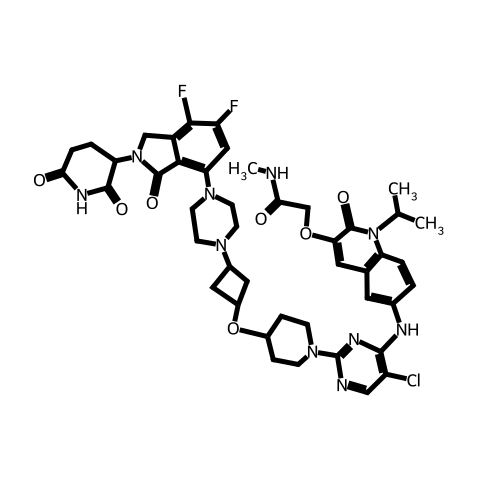 CNC(=O)COc1cc2cc(Nc3nc(N4CCC(OC5CC(N6CCN(c7cc(F)c(F)c8c7C(=O)N(C7CCC(=O)NC7=O)C8)CC6)C5)CC4)ncc3Cl)ccc2n(C(C)C)c1=O